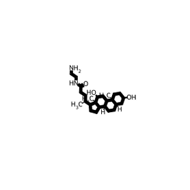 C[C@H](CCC(=O)NCCN)C1CCC2[C@@H]3CC[C@@H]4C[C@H](O)CC[C@]4(C)C3C[C@H](O)[C@@]21C